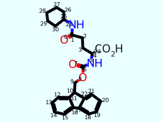 O=C(CC[C@H](NC(=O)OCC1c2ccccc2-c2ccccc21)C(=O)O)NC1CCCCC1